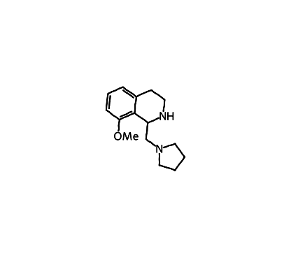 COc1cccc2c1C(CN1CCCC1)NCC2